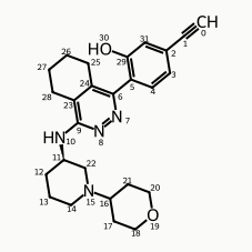 C#Cc1ccc(-c2nnc(N[C@@H]3CCCN(C4CCOCC4)C3)c3c2CCCC3)c(O)c1